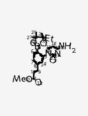 CCC1(C)OB(c2ccc(/C=C/C(=O)OC)cc2-n2ccc(N)nc2=O)OC1(C)C